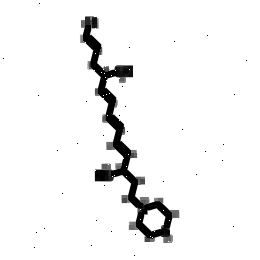 CCC=CCC(O)C=CC=CC=CC(O)CCN1CCSCC1